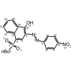 CCCCS(=O)(=O)c1cc(N=Nc2ccc([N+](=O)[O-])cc2)c(O)c2ccccc12